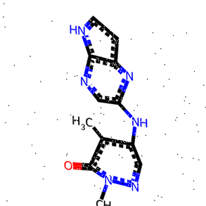 Cc1c(Nc2cnc3[nH]ccc3n2)cnn(C)c1=O